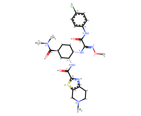 CCO/N=C(\N[C@H]1CC[C@H](C(=O)N(C)C)C[C@H]1NC(=O)c1nc2c(s1)CN(C)CC2)C(=O)Nc1ccc(Cl)cc1